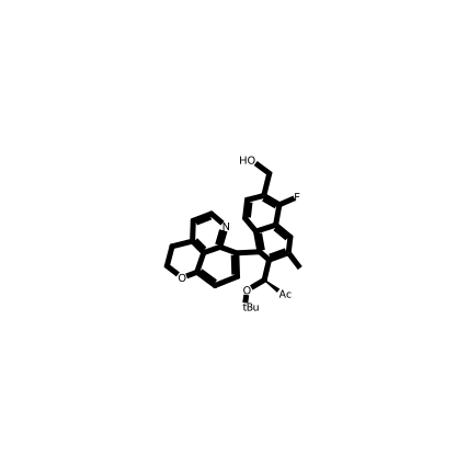 CC(=O)[C@@H](OC(C)(C)C)c1c(C)cc2c(F)c(CO)ccc2c1-c1ccc2c3c(ccnc13)CCO2